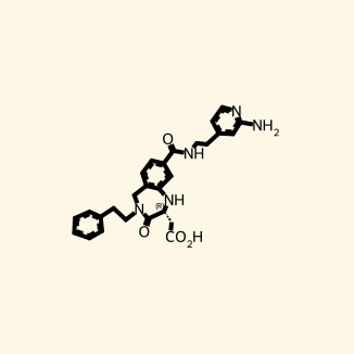 Nc1cc(CCNC(=O)c2ccc3c(c2)N[C@H](CC(=O)O)C(=O)N(CCc2ccccc2)C3)ccn1